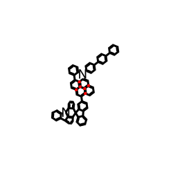 c1ccc(-c2ccc(-c3ccc(N(c4ccc5cc(-c6ccc7c(c6)C6(c8ccccc8-7)c7ccccc7-n7c8ccccc8c8cccc6c87)ccc5c4)c4ccccc4-c4cccc(-c5ccccc5)c4)cc3)cc2)cc1